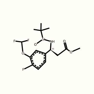 COC(=O)C[C@H](N[S+]([O-])C(C)(C)C)c1ccc(F)c(OC(F)F)c1